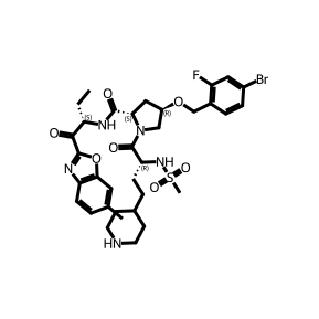 CC[C@H](NC(=O)[C@@H]1C[C@@H](OCc2ccc(Br)cc2F)CN1C(=O)[C@@H](CCC1CCNCC1)NS(C)(=O)=O)C(=O)c1nc2ccc(C)cc2o1